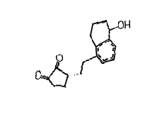 O=C1CC[C@@H](CCc2cccc3c2CCCC3O)C1=O